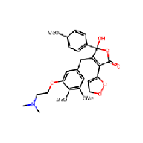 COc1ccc(C2(O)OC(=O)C(C3=CCOO3)=C2Cc2cc(OC)c(OC)c(OCCN(C)C)c2)cc1